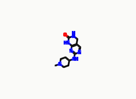 CN1CCC(Nc2ncc3c(n2)NC(=O)NC3)CC1